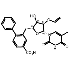 C=CO[C@@H]1[C@H](O)[C@@H](Cc2cc(C(=O)O)ccc2-c2ccccc2)O[C@H]1n1cc(C)c(=O)[nH]c1=O